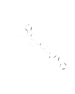 COCCCn1c(C2CCCN(C(=O)CC(N)CNC(=O)c3ccc(-c4ccccc4)s3)C2)nc2ccccc21